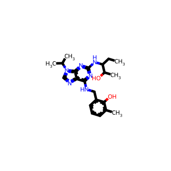 CCC(Nc1nc(NCc2cccc(C)c2O)c2ncn(C(C)C)c2n1)C(C)O